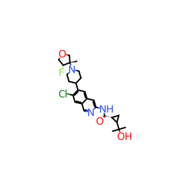 CC(C)(O)C1C[C@H]1C(=O)Nc1cc2cc(C3CCN([C@@]4(C)COC[C@H]4F)CC3)c(Cl)cc2cn1